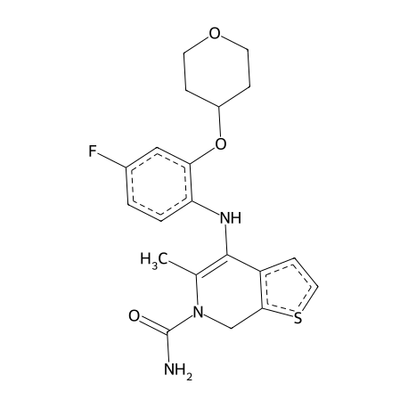 CC1=C(Nc2ccc(F)cc2OC2CCOCC2)c2ccsc2CN1C(N)=O